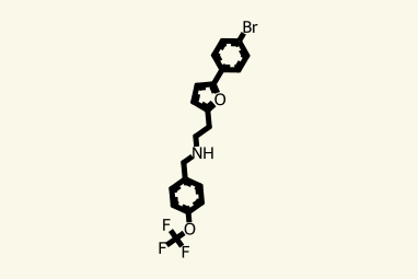 FC(F)(F)Oc1ccc(CNCCc2ccc(-c3ccc(Br)cc3)o2)cc1